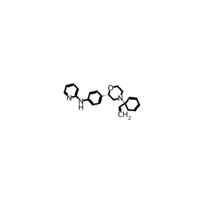 C=C[C@@]1(N2CCO[C@@H](c3ccc(Nc4ccccn4)cc3)C2)C=CC=CC1